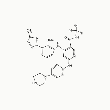 [2H]C([2H])([2H])NC(=O)c1nnc(Nc2ccc(N3CCNCC3)cn2)cc1Nc1cccc(-c2ncn(C)n2)c1OC